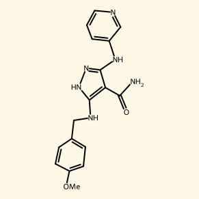 COc1ccc(CNc2[nH]nc(Nc3cccnc3)c2C(N)=O)cc1